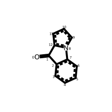 O=C1c2ccccc2-n2cccc21